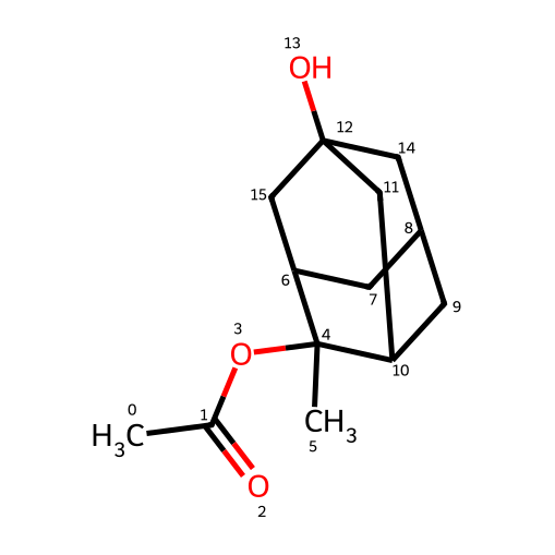 CC(=O)OC1(C)C2CC3CC1CC(O)(C3)C2